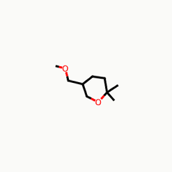 COCC1CCC(C)(C)OC1